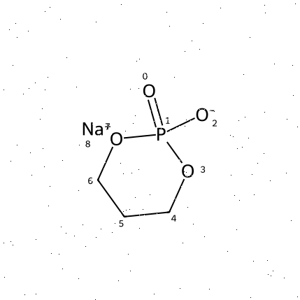 O=P1([O-])OCCCO1.[Na+]